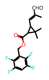 CC(C=O)=CC1C(C(=O)OCc2c(F)c(F)cc(F)c2F)C1(C)C